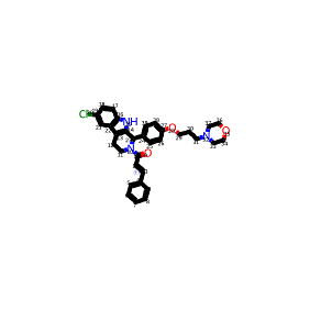 O=C(/C=C/c1ccccc1)N1CCc2c([nH]c3ccc(Cl)cc23)C1c1ccc(OCCCN2CCOCC2)cc1